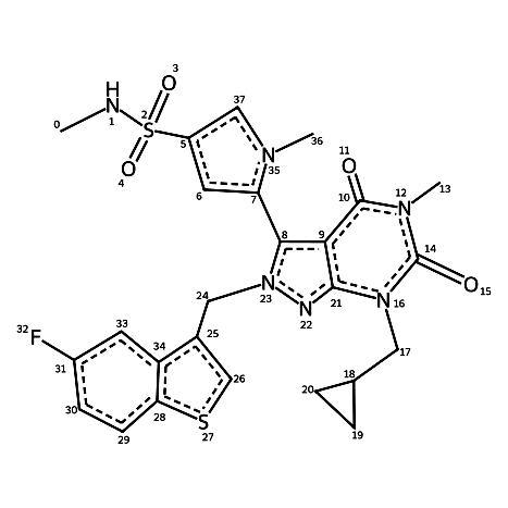 CNS(=O)(=O)c1cc(-c2c3c(=O)n(C)c(=O)n(CC4CC4)c3nn2Cc2csc3ccc(F)cc23)n(C)c1